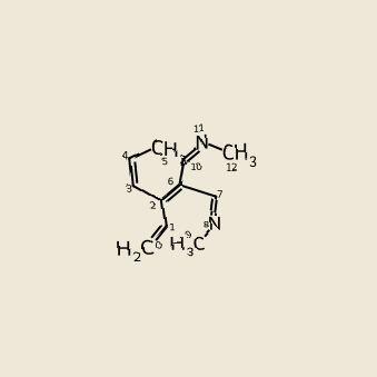 C=CC(/C=C\C)=C(/C=N\C)/C=N\C